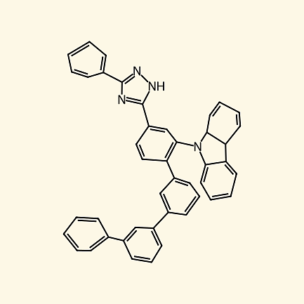 C1=CC2c3ccccc3N(c3cc(-c4nc(-c5ccccc5)n[nH]4)ccc3-c3cccc(-c4cccc(-c5ccccc5)c4)c3)C2C=C1